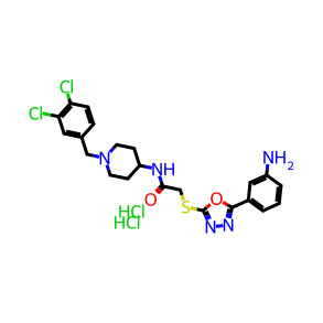 Cl.Cl.Nc1cccc(-c2nnc(SCC(=O)NC3CCN(Cc4ccc(Cl)c(Cl)c4)CC3)o2)c1